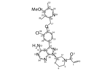 C=CC(=O)N1CCC[C@@H](n2nc(-c3ccc(OCc4ncc(C)c(OC)c4C)c(Cl)c3)c3c(N)ncnc32)C1